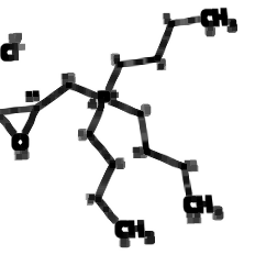 CCCC[P+](CCCC)(CCCC)CC1CO1.[Cl-]